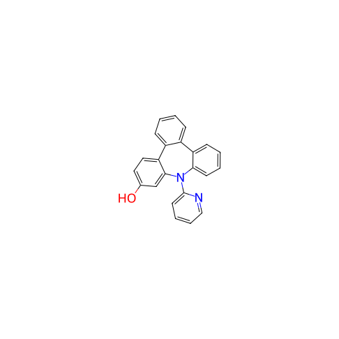 Oc1ccc2c(c1)N(c1ccccn1)c1ccccc1-c1ccccc1-2